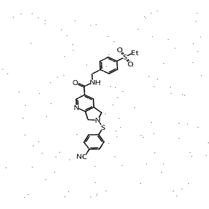 CCS(=O)(=O)c1ccc(CNC(=O)c2cnc3c(c2)CN(Sc2ccc(C#N)cc2)C3)cc1